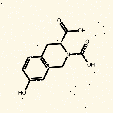 O=C(O)[C@@H]1Cc2ccc(O)cc2CN1C(=O)O